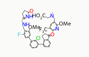 COc1cc(-c2cccc(-c3cccc4c3CC[C@@H]4Oc3nc(OC)c(CN(C)CC(=O)O)cc3C(F)(F)F)c2Cl)cc(F)c1CNC[C@@H]1CCC(=O)N1